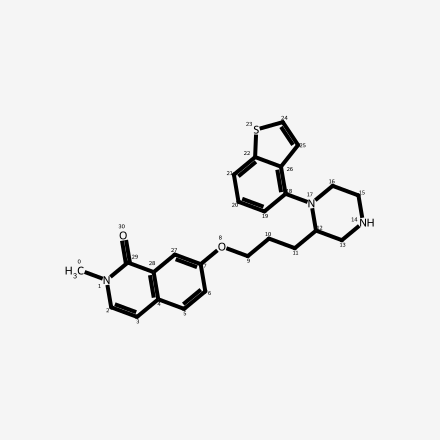 Cn1ccc2ccc(OCCCC3CNCCN3c3cccc4sccc34)cc2c1=O